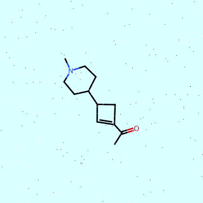 CC(=O)C1=CC(C2CCN(C)CC2)C1